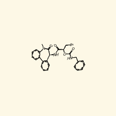 CC(C)CC(OC(=O)NCc1ccccc1)C(=O)N[C@@H]1C(=O)N(C)c2ccccc2-c2ccccc21